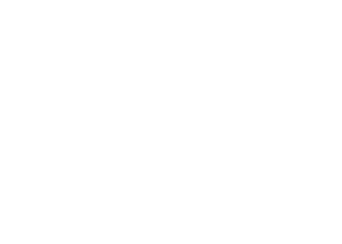 CCc1ccc(Oc2cccc(C(C)C)c2)cc1